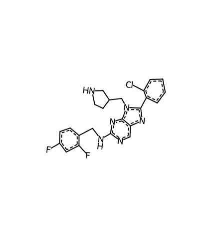 Fc1ccc(CNc2ncc3nc(-c4ccccc4Cl)n(CC4CCNC4)c3n2)c(F)c1